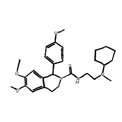 COc1ccc(C2c3cc(OC)c(OC)cc3CCN2C(=O)NCCN(C)C2CCCCC2)cc1